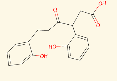 O=C(O)CC(C(=O)CCc1ccccc1O)c1ccccc1O